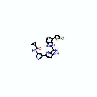 O=C(Nc1cncc(-c2ccc3[nH]nc(-c4nc5c(-c6ccc(Cl)s6)cccc5[nH]4)c3n2)c1)C1CC1